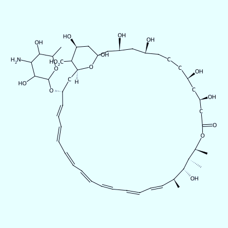 CC1OC(O[C@H]2/C=C/C=C/C=C/C=C/C=C/C=C/C=C/[C@H](C)[C@@H](O)[C@@H](C)[C@H](C)OC(=O)C[C@H](O)C[C@H](O)CCC[C@H](O)C[C@H](O)C[C@]3(O)C[C@H](O)C(C(=O)O)[C@H](C2)O3)C(O)C(N)C1O